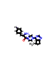 C[C@@H]1CCc2ncnc(N3CCN(C(=O)[C@H](N)Cc4ccc(I)cc4)CC3)c21